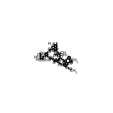 CCC1(O)C(=O)OCc2c1cc1n(c2=O)Cc2c-1nc1cc(F)c(C)c3c1c2C(NC(=O)OCc1ccc(OC2OC(C(=O)O)C(O)C(O)C2O)c(CNC(=O)CCNC(=O)C(CCCCNC(=O)CCOCCOC)NC(=O)CCCCC(=O)N2Cc4ccccc4-c4c(nnn4C)-c4ccccc42)c1)CC3